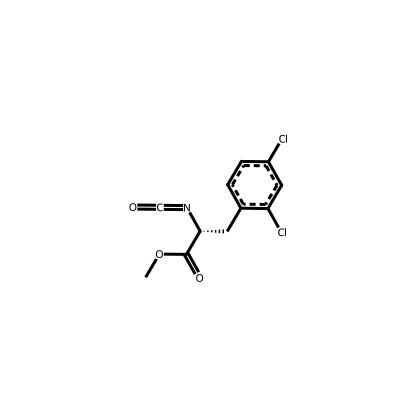 COC(=O)[C@@H](Cc1ccc(Cl)cc1Cl)N=C=O